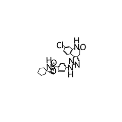 C#CC1(NS(=O)(=O)c2ccc(Nc3ncc4c(n3)-c3ccc(Cl)cc3NC(=O)C4)cc2)CCCCC1